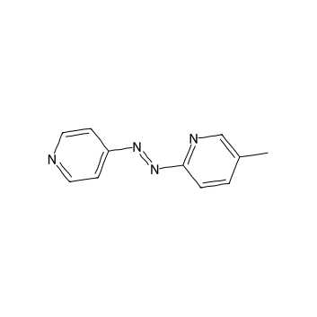 Cc1ccc(N=Nc2ccncc2)nc1